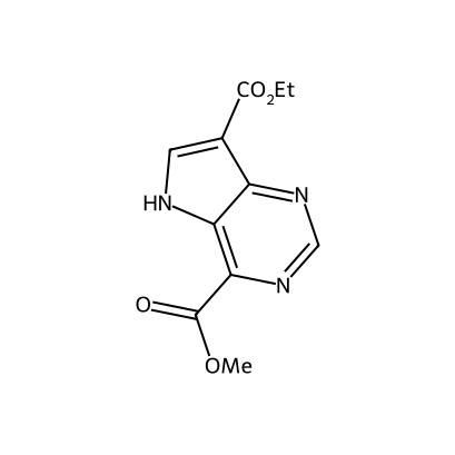 CCOC(=O)c1c[nH]c2c(C(=O)OC)ncnc12